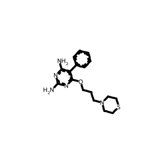 Nc1nc(N)c(-c2ccccc2)c(OCCCN2CCSCC2)n1